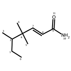 CCC(C)C(C)(C)C=CC(N)=O